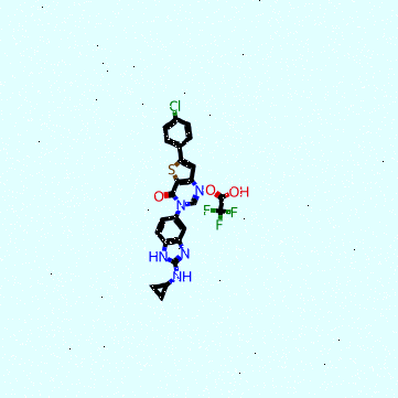 O=C(O)C(F)(F)F.O=c1c2sc(-c3ccc(Cl)cc3)cc2ncn1-c1ccc2[nH]c(NC3CC3)nc2c1